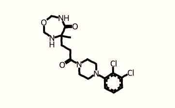 CC1(CCC(=O)N2CCN(c3cccc(Cl)c3Cl)CC2)NCOCNC1=O